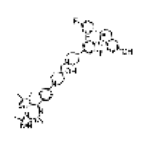 Cc1sc2c(c1C)C(c1ccc(N3CCC(O)(CN4CCC(c5cc(F)c([C@H]6c7ccc(O)cc7CC[C@H]6c6ccc(F)cc6)c(F)c5)CC4)CC3)cc1)=N[C@@H](C)c1nnc(C)n1-2